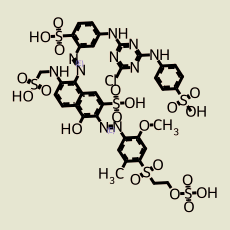 COc1cc(S(=O)(=O)CCOS(=O)(=O)O)c(C)cc1/N=N/c1c(S(=O)(=O)O)cc2c(/N=N/c3cc(Nc4nc(Cl)nc(Nc5ccc(S(=O)(=O)O)cc5)n4)ccc3S(=O)(=O)O)c(NCS(=O)(=O)O)ccc2c1O